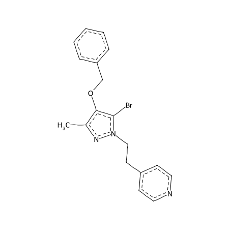 Cc1nn(CCc2ccncc2)c(Br)c1OCc1ccccc1